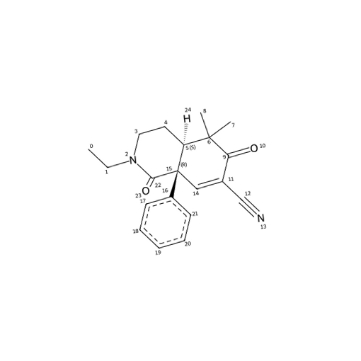 CCN1CC[C@H]2C(C)(C)C(=O)C(C#N)=C[C@]2(c2ccccc2)C1=O